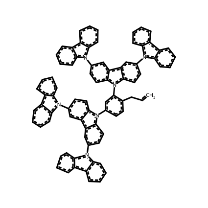 C=CCc1ccc(-n2c3ccc(-n4c5ccccc5c5ccccc54)cc3c3cc(-n4c5ccccc5c5ccccc54)ccc32)cc1-n1c2ccc(-n3c4ccccc4c4ccccc43)cc2c2cc(-n3c4ccccc4c4ccccc43)ccc21